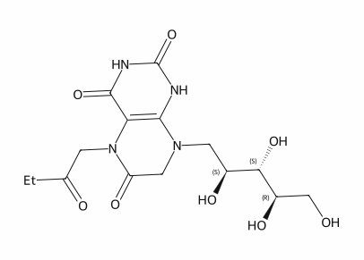 CCC(=O)CN1C(=O)CN(C[C@H](O)[C@H](O)[C@H](O)CO)c2[nH]c(=O)[nH]c(=O)c21